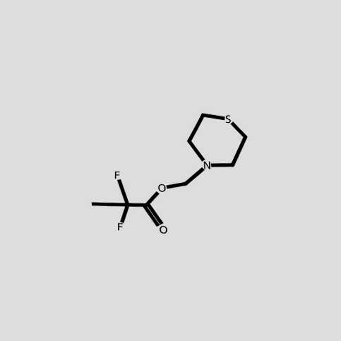 CC(F)(F)C(=O)OCN1CCSCC1